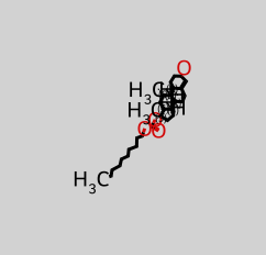 CCCCCCCCCCOC(=O)O[C@H]1CC[C@H]2[C@@H]3CCC4=CC(=O)CC[C@@H]4[C@H]3[C@@H](C)C[C@]12C